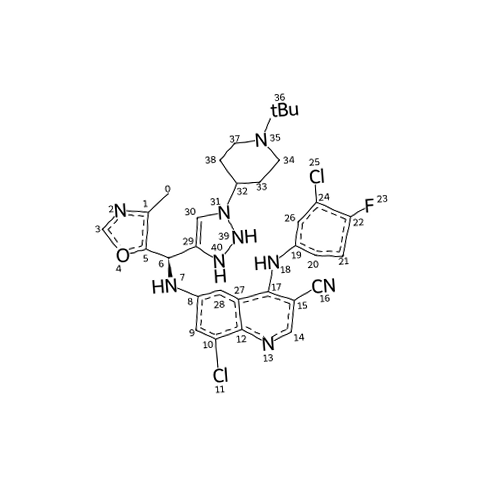 Cc1ncoc1[C@H](Nc1cc(Cl)c2ncc(C#N)c(Nc3ccc(F)c(Cl)c3)c2c1)C1=CN(C2CCN(C(C)(C)C)CC2)NN1